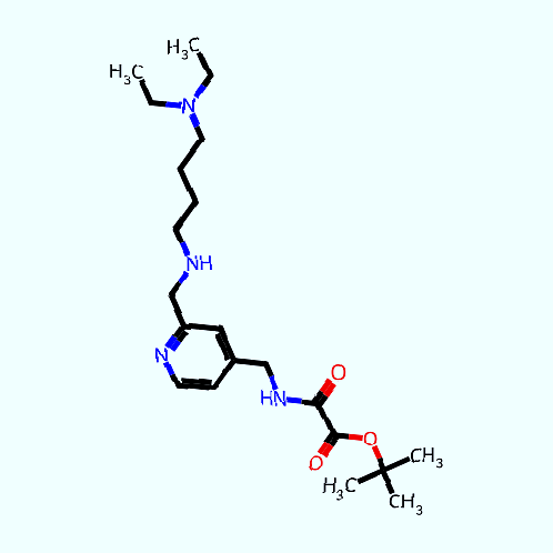 CCN(CC)CCCCNCc1cc(CNC(=O)C(=O)OC(C)(C)C)ccn1